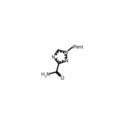 CCCC(C)n1cnc(C(N)=O)n1